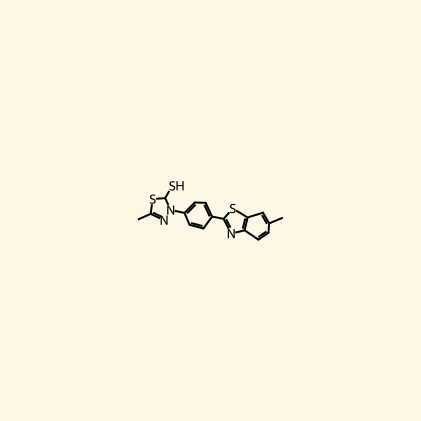 CC1=NN(c2ccc(-c3nc4ccc(C)cc4s3)cc2)C(S)S1